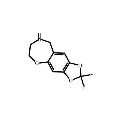 FC1(F)Oc2cc3c(cc2O1)OCCNC3